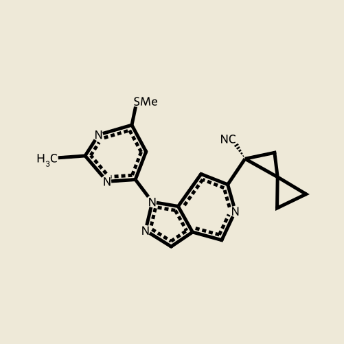 CSc1cc(-n2ncc3cnc([C@@]4(C#N)CC45CC5)cc32)nc(C)n1